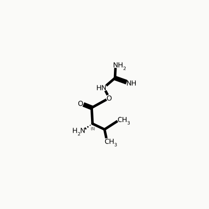 CC(C)[C@H](N)C(=O)ONC(=N)N